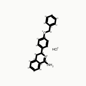 Cl.NC1=NC(c2ccc(OCc3ccccc3)cc2)Cc2ccccc21